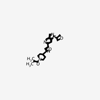 CC(C)C(=O)N1CCC(c2cc(-c3cc4c(cn3)cnn4C3COC3)on2)CC1